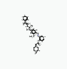 CN1CCN(CC(=O)Oc2ccccc2/N=N/c2ccc(NC(=O)CNC(=O)c3ccccc3)nc2N)CC1